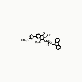 CCCCOc1c(CNC(=O)OCC2c3ccccc3-c3ccccc32)n(CC(C)C)c(=O)c2ccc(-c3nc(C(=O)OCC)cs3)cc12